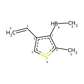 C=Cc1csc(C)c1BC